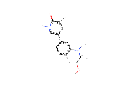 Cc1cc(-c2ccc([N+](=O)[O-])c(N(C)[C@H](C)COC(C)C)c2)cn(C)c1=O